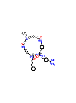 CCCN1CCCCCC(=O)Nc2ccc(cc2)C[C@@H](C(=O)NCc2ccc(C(=N)N)cc2)NC(=O)[C@H](NC(=O)CCCc2ccccc2)Cc2ccc(cc2)NC(=O)CC1